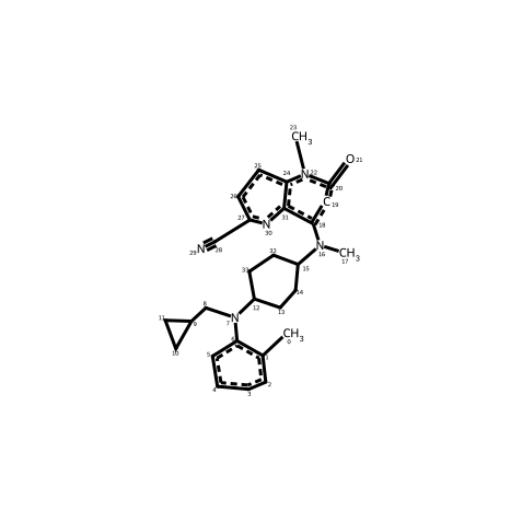 Cc1ccccc1N(CC1CC1)C1CCC(N(C)c2cc(=O)n(C)c3ccc(C#N)nc23)CC1